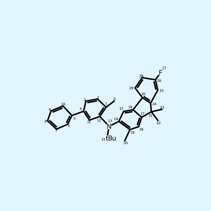 Cc1ccc(-c2ccccc2)cc1N(c1cc2c(cc1C)C(C)(C)c1cc(F)ccc1-2)C(C)(C)C